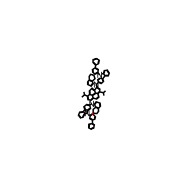 CC(C)c1cc(N(c2ccc3c4ccccc4n(-c4cccc(-c5ccccc5)c4)c3c2)c2cccc3c2CCCC3)c2ccc3c(C(C)C)cc(N(c4ccc5c6ccccc6n(-c6cccc(-c7ccccc7)c6)c5c4)c4cccc5c4CCCC5)c4ccc1c2c34